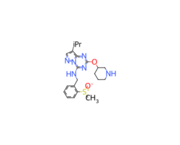 CC(C)c1cnn2c(NCc3ccccc3[S+](C)[O-])nc(OC3CCCNC3)nc12